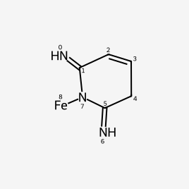 N=C1C=CCC(=N)[N]1[Fe]